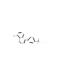 CCc1cccc2c1ccc1oc3cc(C(C)(C)N)ccc3c12